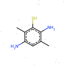 Cc1cc(N)c(C)c(S)c1N